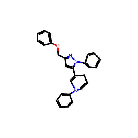 [c]1ccccc1N1C=CCC(c2cc(COc3ccccc3)nn2-c2ccccc2)=C1